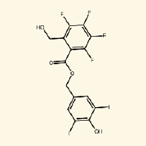 O=C(OCc1cc(I)c(O)c(I)c1)c1c(F)c(F)c(F)c(F)c1CO